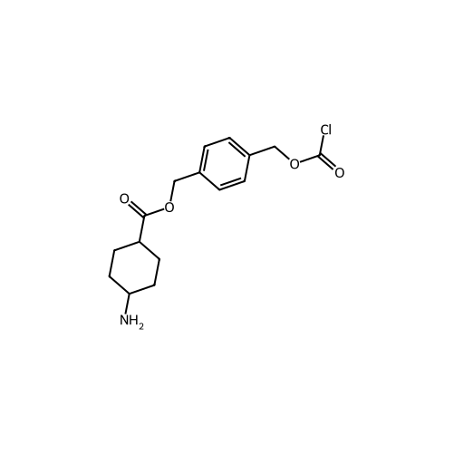 NC1CCC(C(=O)OCc2ccc(COC(=O)Cl)cc2)CC1